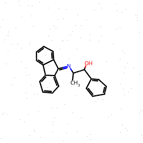 CC(N=C1c2ccccc2-c2ccccc21)C(O)c1ccccc1